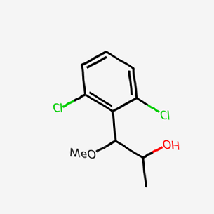 COC(c1c(Cl)cccc1Cl)C(C)O